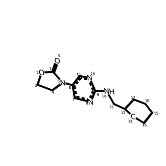 O=C1OCCN1c1cnc(NCC2CCCCC2)nc1